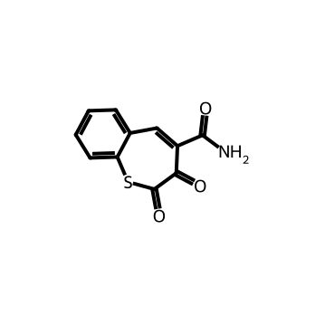 NC(=O)c1cc2ccccc2sc(=O)c1=O